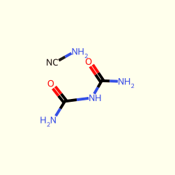 N#CN.NC(=O)NC(N)=O